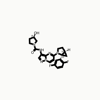 O=C(Nc1cnn2ccc(N3CC[C@H]4C[C@]43c3cc(F)ccc3F)nc12)N1CC[C@@H](O)C1